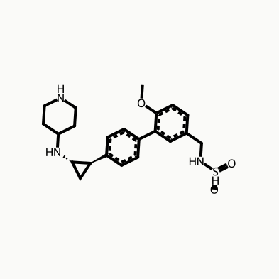 COc1ccc(CN[SH](=O)=O)cc1-c1ccc([C@H]2C[C@@H]2NC2CCNCC2)cc1